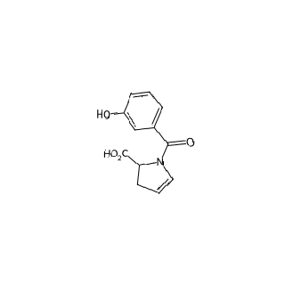 O=C(O)C1CC=CN1C(=O)c1cccc(O)c1